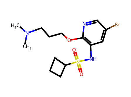 CN(C)CCCOc1ncc(Br)cc1NS(=O)(=O)C1CCC1